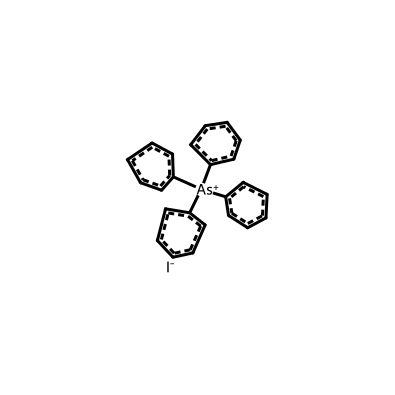 [I-].c1ccc([As+](c2ccccc2)(c2ccccc2)c2ccccc2)cc1